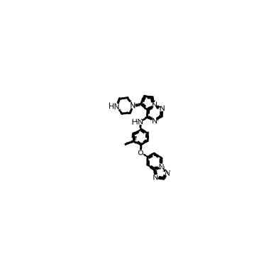 Cc1cc(Nc2ncnn3ccc(N4CCNCC4)c23)ccc1Oc1ccn2ncnc2c1